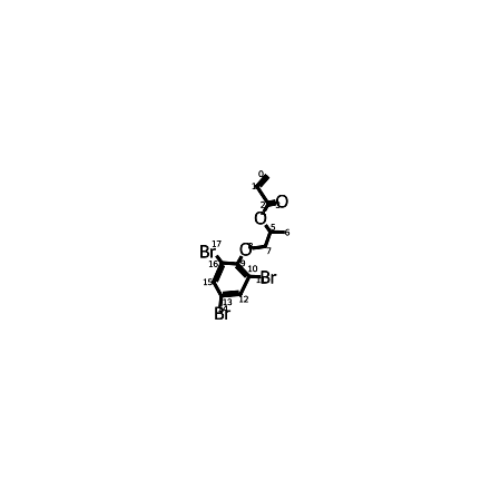 C=CC(=O)OC(C)COc1c(Br)cc(Br)cc1Br